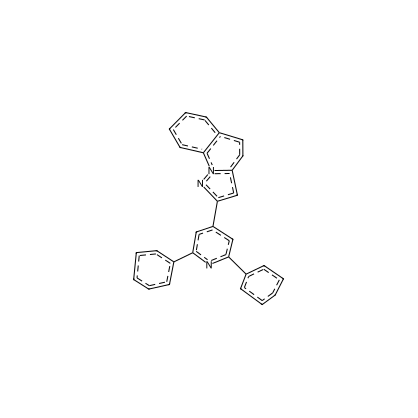 c1ccc(-c2cc(-c3cc4ccc5ccccc5n4n3)cc(-c3ccccc3)n2)cc1